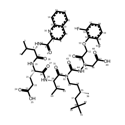 CC(C)[C@H](NC(=O)c1ccc2ccccc2n1)C(=O)N[C@@H](CCC(=O)O)C(=O)N[C@H](C(=O)N(CC[C@H](C)CC(C)(C)C)C(=O)NN(CC(=O)O)C(=O)COc1c(F)cccc1F)C(C)C